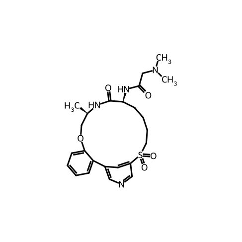 C[C@@H]1COc2ccccc2-c2cncc(c2)S(=O)(=O)CCCC[C@H](NC(=O)CN(C)C)C(=O)N1